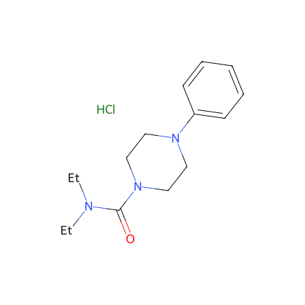 CCN(CC)C(=O)N1CCN(c2ccccc2)CC1.Cl